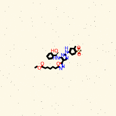 CCOC(=O)CCCCCc1nnc(-c2cnc(Nc3ccc(S(C)(=O)=O)c(C)c3)nc2N[C@H](CO)c2ccccc2)o1